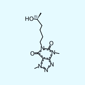 C[C@H](O)CCCCn1c(=O)c2c(nnn2C)n(C)c1=O